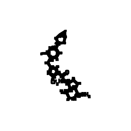 Cc1nc(N2CC3CC3C2)ccc1Cn1cc(C(=O)N[C@@H]2CCC3=C2C(C)CN=C3N)c(C(F)(F)F)n1